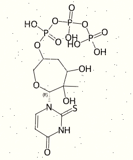 CC1(O)C(O)CC(OP(=O)(O)OP(=O)(O)OP(=O)(O)O)CO[C@H]1n1ccc(=O)[nH]c1=S